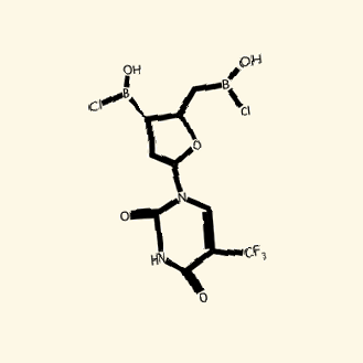 O=c1[nH]c(=O)n(C2C[C@@H](B(O)Cl)C(CB(O)Cl)O2)cc1C(F)(F)F